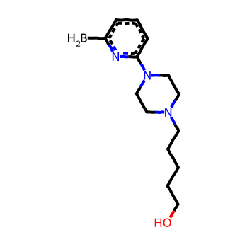 Bc1cccc(N2CCN(CCCCCO)CC2)n1